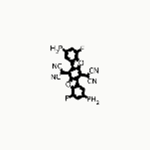 N#CC(C#N)=c1c2oc3c(F)cc(P)cc3c2c(=C(C#N)C#N)c2oc3c(F)cc(P)cc3c12